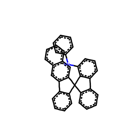 c1ccc(Nc2cccc3c2C2(c4ccccc4-c4cc5ccccc5cc42)c2ccccc2-3)cc1